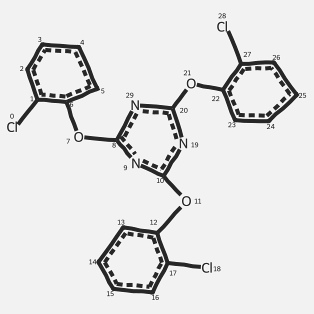 Clc1ccccc1Oc1nc(Oc2ccccc2Cl)nc(Oc2ccccc2Cl)n1